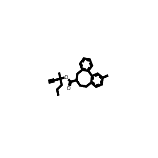 C#CC(C)(CCC)OC(=O)C1CCc2ccc(C)cc2-c2ccccc2C1